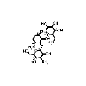 NCC1O[C@H](O[C@@H]2CC[C@@H](N)C(O[C@H]3OC(CO)[C@@H](O)C(N)C3O)C2O)C(O)C(O)[C@@H]1O